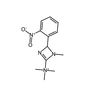 CN1C([N+](C)(C)C)=NC1c1ccccc1[N+](=O)[O-]